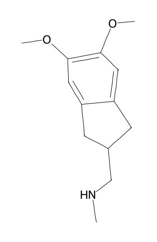 CNCC1Cc2cc(OC)c(OC)cc2C1